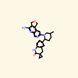 CC1CCC(c2ccc3c(c2)CC2(CC2)C(=O)N3)N(c2cc3c4c(c(N)nc3cn2)COC4)C1